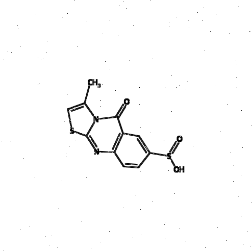 Cc1csc2nc3ccc(S(=O)O)cc3c(=O)n12